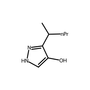 CCCC(C)c1n[nH]cc1O